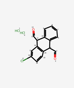 Cl.Cl.O=CC1c2ccccc2C(C=O)c2cc(Cl)ccc21